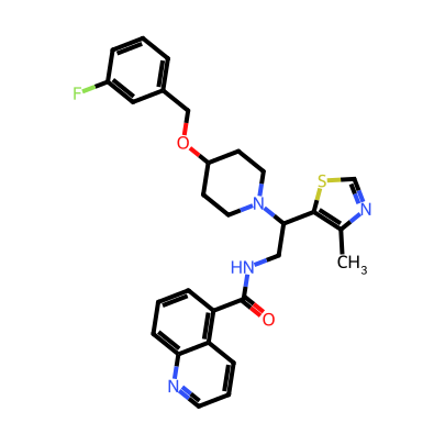 Cc1ncsc1C(CNC(=O)c1cccc2ncccc12)N1CCC(OCc2cccc(F)c2)CC1